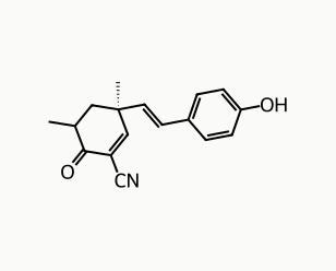 CC1C[C@@](C)(C=Cc2ccc(O)cc2)C=C(C#N)C1=O